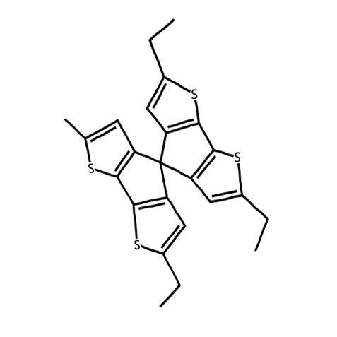 CCc1cc2c(s1)-c1sc(C)cc1C21c2cc(CC)sc2-c2sc(CC)cc21